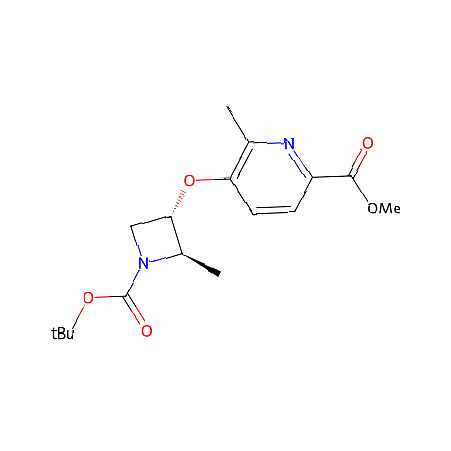 COC(=O)c1ccc(O[C@H]2CN(C(=O)OC(C)(C)C)[C@@H]2C)c(C)n1